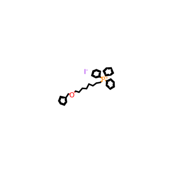 [I-].c1ccc(COCCCCCCCC[P+](c2ccccc2)(c2ccccc2)c2ccccc2)cc1